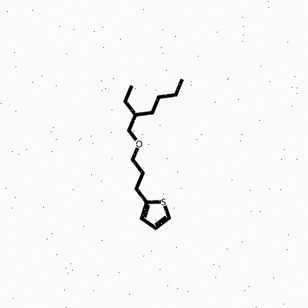 CCCCC(CC)COCCCc1cccs1